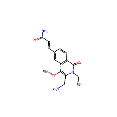 CCCCOc1c(CN)n(CC(C)(C)C)c(=O)c2ccc(/C=C/C(N)=O)cc12